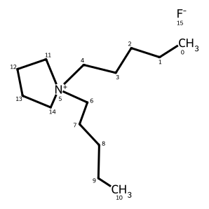 CCCCC[N+]1(CCCCC)CCCC1.[F-]